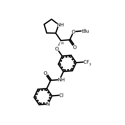 CC(C)(C)OC(=O)[C@H](Oc1cc(NC(=O)c2cccnc2Cl)cc(C(F)(F)F)c1)C1CCCN1